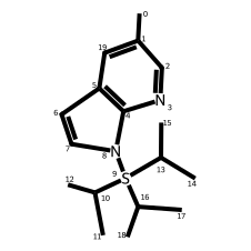 Cc1cnc2c(ccn2S(C(C)C)(C(C)C)C(C)C)c1